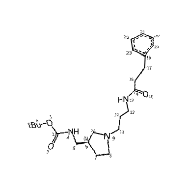 CC(C)(C)OC(=O)NC[C@@H]1CCN(CCCNC(=O)CCc2ccccc2)C1